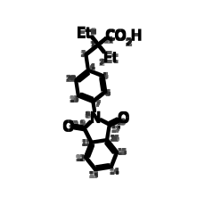 CCC(CC)(Cc1ccc(N2C(=O)c3ccccc3C2=O)cc1)C(=O)O